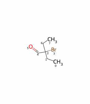 CCC(Br)(C=O)CC